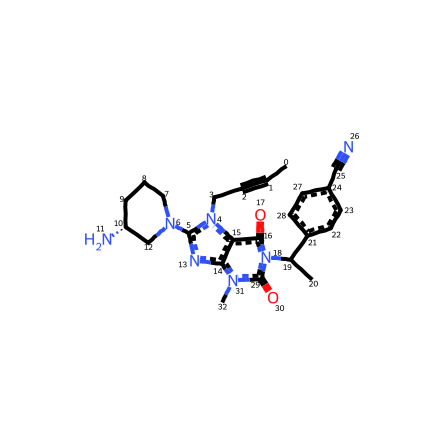 CC#CCn1c(N2CCC[C@@H](N)C2)nc2c1c(=O)n(C(C)c1ccc(C#N)cc1)c(=O)n2C